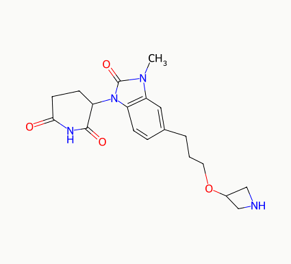 Cn1c(=O)n(C2CCC(=O)NC2=O)c2ccc(CCCOC3CNC3)cc21